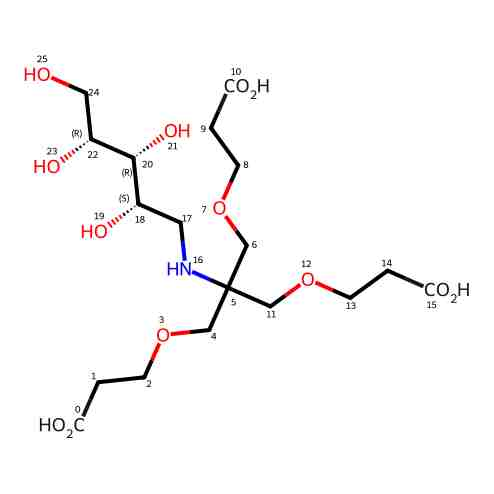 O=C(O)CCOCC(COCCC(=O)O)(COCCC(=O)O)NC[C@H](O)[C@@H](O)[C@H](O)CO